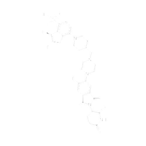 CS(=O)(=O)c1ccc(N2CCC(CN3CCN(c4cc5c(cc4F)C(=O)N(C4CCC(=O)NC4=O)C5=O)CC3)CC2)c2c1[C@H](O)[C@@H](F)C2